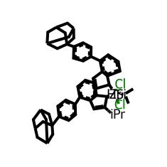 CC1=Cc2c(-c3ccc(C45CC6CC(CC(C6)C4)C5)cc3)cccc2[CH]1[Zr]([Cl])([Cl])([CH]1C(C(C)C)=Cc2c(-c3ccc(C45CC6CC(CC(C6)C4)C5)cc3)cccc21)[SiH](C)C